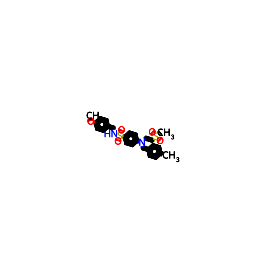 COc1ccc(CNS(=O)(=O)c2ccc(N(CCS(C)(=O)=O)Cc3ccc(C)cc3)cc2)cc1